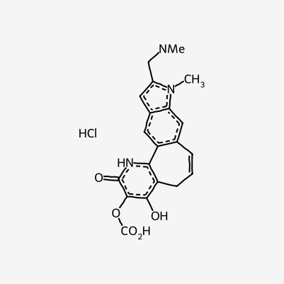 CNCc1cc2cc3c(cc2n1C)C=CCc1c-3[nH]c(=O)c(OC(=O)O)c1O.Cl